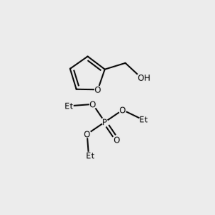 CCOP(=O)(OCC)OCC.OCc1ccco1